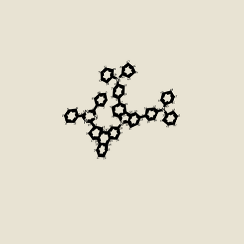 c1ccc(-c2nc(-c3ccccc3)nc(-c3ccc4c5ccccc5c5ccc(-n6c7ccc(-c8ccc(N(c9ccccc9)c9ccccc9)cc8)cc7c7cc(-c8ccc(N(c9ccccc9)c9ccccc9)cc8)ccc76)cc5c4c3)n2)cc1